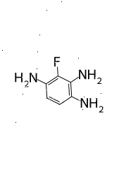 Nc1ccc(N)c(F)c1N